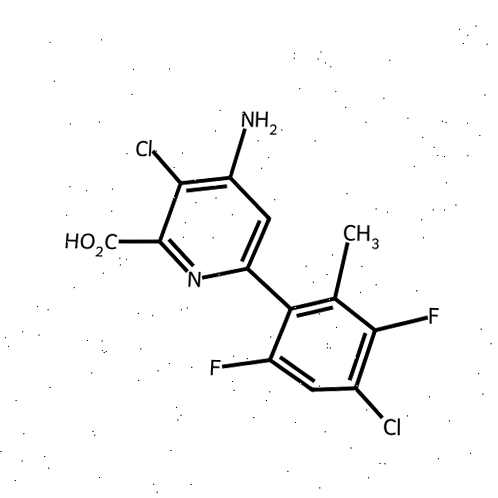 Cc1c(F)c(Cl)cc(F)c1-c1cc(N)c(Cl)c(C(=O)O)n1